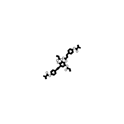 C=CC(=O)Oc1cc(C#Cc2ccc(OC(=O)C(=C)C)cc2)c(F)c(OC(=O)C=C)c1OC(=O)/C=C/c1ccc(OC(=O)C(=C)C)cc1